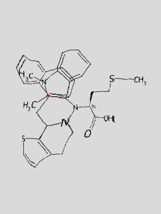 CSCC[C@@H](C(=O)O)N(c1c(C)n(C)c2ccccc12)N1CCc2ccsc2C1Cc1cccc2ccccc12